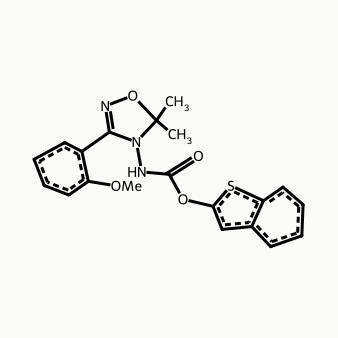 COc1ccccc1C1=NOC(C)(C)N1NC(=O)Oc1cc2ccccc2s1